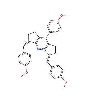 COc1ccc(/C=C2/CCc3c2nc2c(c3-c3ccc(OC)cc3)CC/C2=C\c2ccc(OC)cc2)cc1